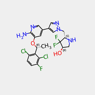 C[C@@H](Oc1cc(-c2cnn(C[C@@H]3NC[C@@H](O)C3(F)F)c2)cnc1N)c1c(Cl)ccc(F)c1Cl